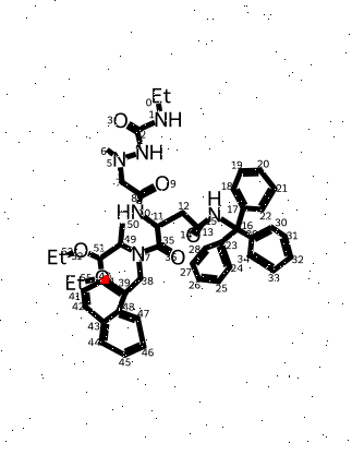 CCNC(=O)NN(C)CC(=O)NC(CC(=O)NC(c1ccccc1)(c1ccccc1)c1ccccc1)C(=O)N(Cc1cccc2ccccc12)C(C)C(OCC)OCC